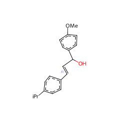 COc1ccc(C(O)/C=C/c2ccc(C(C)C)cc2)cc1